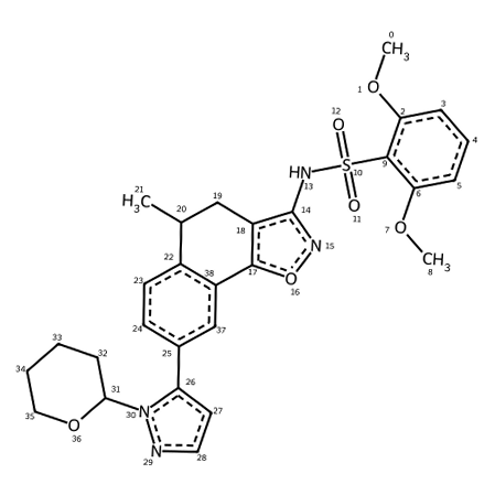 COc1cccc(OC)c1S(=O)(=O)Nc1noc2c1CC(C)c1ccc(-c3ccnn3C3CCCCO3)cc1-2